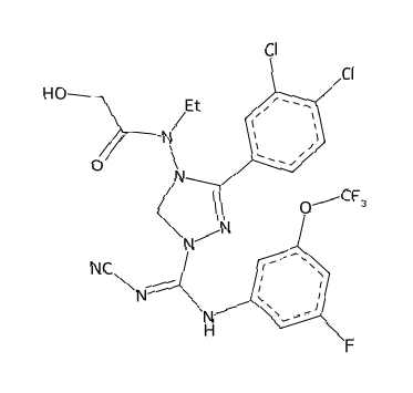 CCN(C(=O)CO)N1CN(/C(=N\C#N)Nc2cc(F)cc(OC(F)(F)F)c2)N=C1c1ccc(Cl)c(Cl)c1